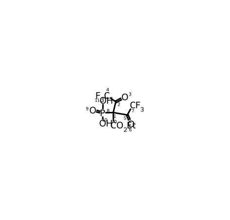 CCOC(=O)C(C(=O)C(F)(F)F)(C(=O)C(F)(F)F)P(=O)(O)O